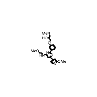 CNCC(O)COc1cccc(-c2nc(NCCOC)cc(-c3ccnc(OC)c3)n2)c1